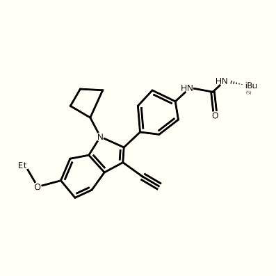 C#Cc1c(-c2ccc(NC(=O)N[C@@H](C)CC)cc2)n(C2CCC2)c2cc(OCC)ccc12